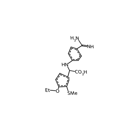 CCOc1ccc(C(Nc2ccc(C(=N)N)cc2)C(=O)O)cc1SC